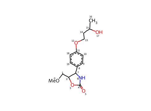 COCC1OC(=O)NC1c1ccc(OCCC(C)O)cc1